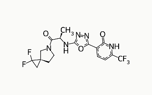 C[C@@H](Nc1nnc(-c2ccc(C(F)(F)F)[nH]c2=O)o1)C(=O)N1CC[C@@]2(C1)CC2(F)F